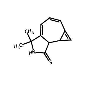 CC1(C)NC(=S)C2C1=CC=CC1=CC12